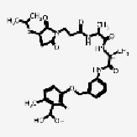 Cc1ccc(OCc2cccc(NC(=O)[C@H](C)NC(=O)C(C)NC(=O)CCN3C(=O)CC(SC(C)C)C3=O)c2)c(F)c1C(O)O